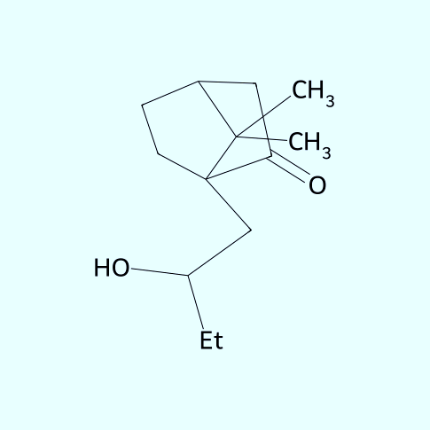 [CH2]CC(O)CC12CCC(CC1=O)C2(C)C